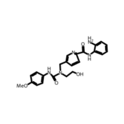 COc1ccc(NC(=O)N(CCO)Cc2ccc(C(=O)Nc3ccccc3N)nc2)cc1